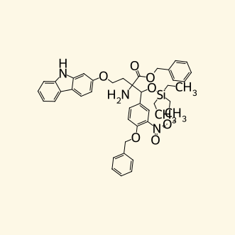 CC[Si](CC)(CC)OC(c1ccc(OCc2ccccc2)c([N+](=O)[O-])c1)C(N)(CCOc1ccc2c(c1)[nH]c1ccccc12)C(=O)OCc1ccccc1